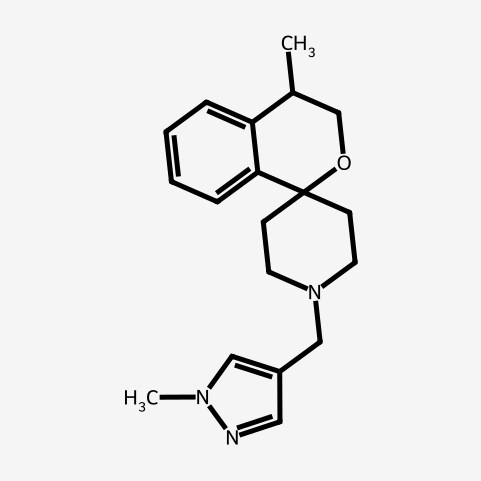 CC1COC2(CCN(Cc3cnn(C)c3)CC2)c2ccccc21